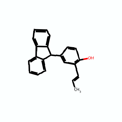 CC=Cc1cc(C2c3ccccc3-c3ccccc32)ccc1O